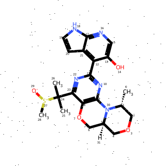 C[C@@H]1COC[C@H]2COc3c(nc(-c4c(O)cnc5[nH]ccc45)nc3C(C)(C)[S+](C)[O-])N21